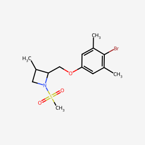 Cc1cc(OCC2C(C)CN2S(C)(=O)=O)cc(C)c1Br